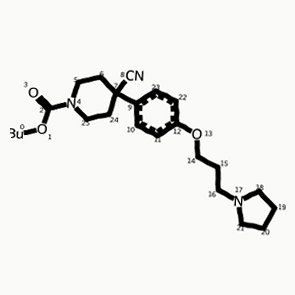 CC(C)(C)OC(=O)N1CCC(C#N)(c2ccc(OCCCN3CCCC3)cc2)CC1